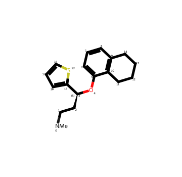 CNCC[C@H](Oc1cccc2c1CCCC2)c1cccs1